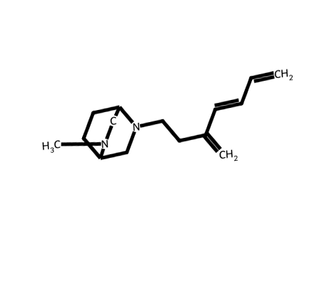 C=CC=CC(=C)CCN1CC2CCC1CN2C